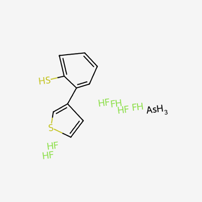 F.F.F.F.F.F.Sc1ccccc1-c1ccsc1.[AsH3]